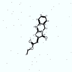 CCOC(=O)C=c1sc2n(c1=O)Cc1ccccc1N=2